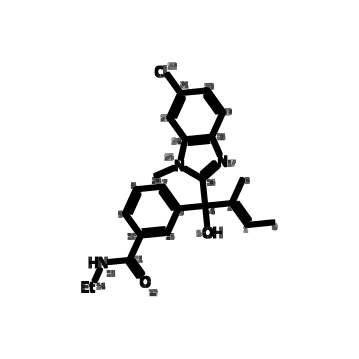 C/C=C(\C)C(O)(c1cccc(C(=O)NCC)c1)c1nc2ccc(Cl)cc2n1C